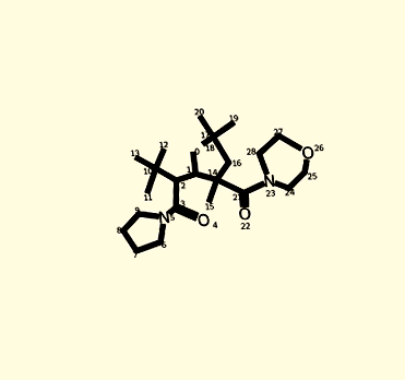 CC(C(C(=O)N1CCCC1)C(C)(C)C)C(C)(CC(C)(C)C)C(=O)N1CCOCC1